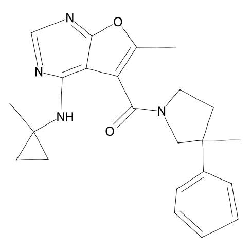 Cc1oc2ncnc(NC3(C)CC3)c2c1C(=O)N1CCC(C)(c2ccccc2)C1